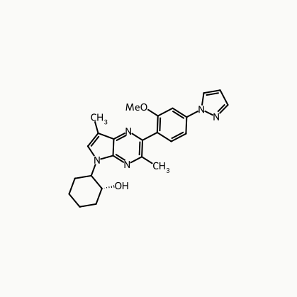 COc1cc(-n2cccn2)ccc1-c1nc2c(C)cn(C3CCCC[C@H]3O)c2nc1C